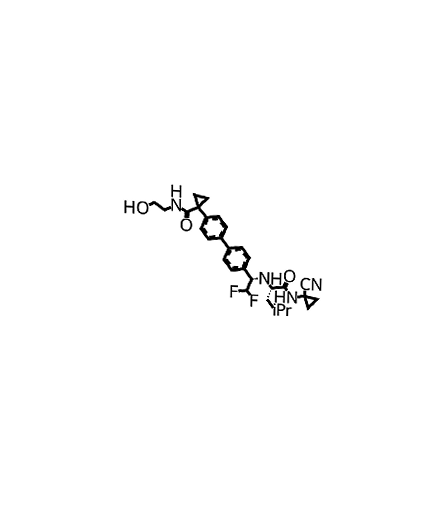 CC(C)C[C@H](N[C@@H](c1ccc(-c2ccc(C3(C(=O)NCCO)CC3)cc2)cc1)C(F)F)C(=O)NC1(C#N)CC1